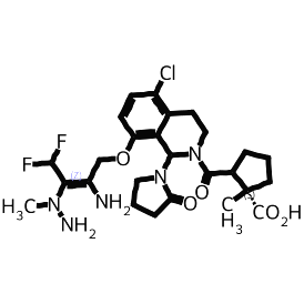 CN(N)/C(=C(\N)COc1ccc(Cl)c2c1C(N1CCCC1=O)N(C(=O)C1CCC[C@]1(C)C(=O)O)CC2)C(F)F